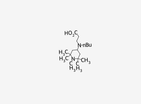 CCCCN(CCC(=O)O)C1CC(C)(C)N(C)C(C)(C)C1